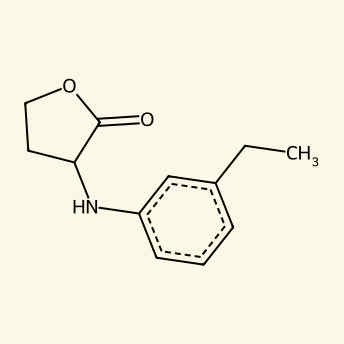 CCc1cccc(NC2CCOC2=O)c1